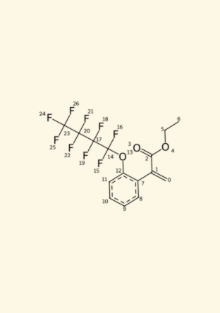 C=C(C(=O)OCC)c1ccccc1OC(F)(F)C(F)(F)C(F)(F)C(F)(F)F